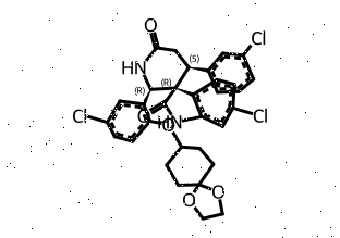 O=C1C[C@@H](c2cccc(Cl)c2)[C@]2(C(=O)Nc3cc(Cl)ccc32)[C@@H](c2cc(Cl)ccc2OC2CCC3(CC2)OCCO3)N1